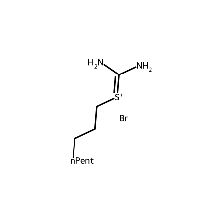 CCCCCCCC[S+]=C(N)N.[Br-]